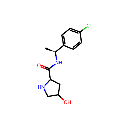 C[C@H](NC(=O)C1CC(O)CN1)c1ccc(Cl)cc1